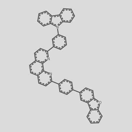 c1cc(-c2ccc3ccc4ccc(-c5ccc(-c6ccc7oc8ccccc8c7c6)cc5)nc4c3n2)cc(-n2c3ccccc3c3ccccc32)c1